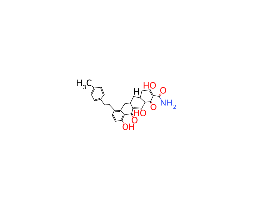 Cc1ccc(/C=C/c2ccc(O)c3c2CC2C[C@H]4CC(O)=C(C(N)=O)C(=O)C4C(O)=C2C3=O)cc1